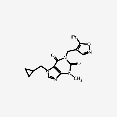 CC(C)c1oncc1Cn1c(=O)c2c(ncn2CC2CC2)n(C)c1=O